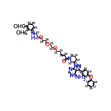 Nc1ncnc2c1c(-c1ccc(Oc3ccccc3)cc1)nn2C1CCCN(C(=O)/C=C/CCOCCOCCOCCNc2cccc(C=O)c2C=O)C1